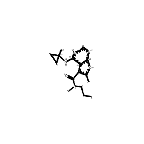 CCCN(C)C(=O)c1c(C)oc2ncnc(NC3(C)CC3)c12